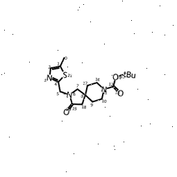 Cc1cnc(CN2CC3(CCN(C(=O)OC(C)(C)C)CC3)CC2=O)s1